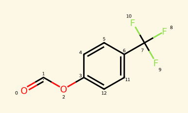 O=[C]Oc1ccc(C(F)(F)F)cc1